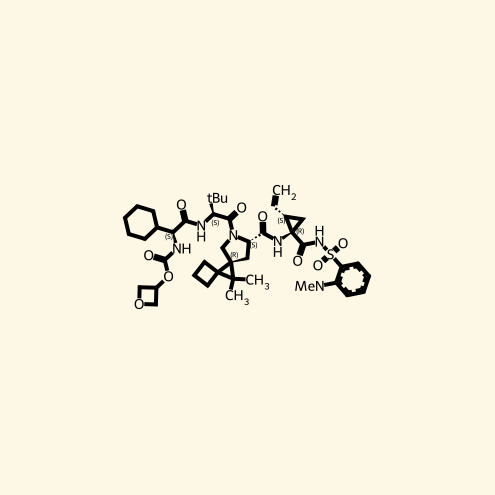 C=C[C@@H]1C[C@]1(NC(=O)[C@@H]1C[C@@]2(CN1C(=O)[C@@H](NC(=O)[C@@H](NC(=O)OC1COC1)C1CCCCC1)C(C)(C)C)C(C)(C)C21CCC1)C(=O)NS(=O)(=O)c1ccccc1NC